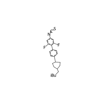 CCC(C)CC1CCC(c2ccc(-c3c(F)cc(N=C=S)cc3F)cc2)CC1